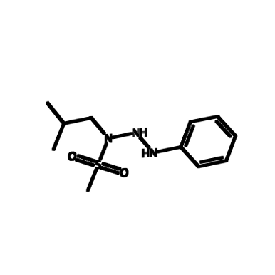 CC(C)CN(NNc1ccccc1)S(C)(=O)=O